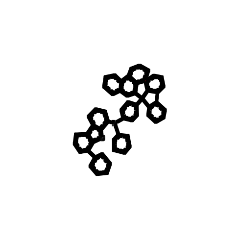 c1ccc(-c2cccc3c2oc2c(N(c4ccccc4)c4ccc(C5(c6cc7ccccc7c7ccccc67)c6ccccc6-c6ccccc65)cc4)cccc23)cc1